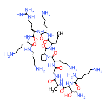 C#CCC(NC(=O)[C@@H]1CCCN1C(=O)[C@@H](CCCN)NC(=O)CNC(=O)C(C)NC(=O)[C@@H](NC(=O)C(N)CCCCN)C(O)CN)C(=O)N[C@@H](CCCCN)C(=O)N/C(=C\CCNC(=N)N)C(=O)N[C@@H](CCCCN)C(=O)NCCCCN